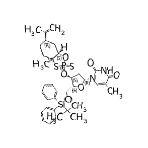 C=C(C)[C@@H]1CC[C@]2(C)S[P@](=S)(O[C@H]3C[C@H](n4cc(C)c(=O)[nH]c4=O)O[C@@H]3CO[Si](c3ccccc3)(c3ccccc3)C(C)(C)C)O[C@H]2C1